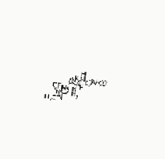 Cc1nc2ccc(-c3ccn4nc(N[C@@H]5CN(C6COC6)C[C@@H]5F)nc(N)c34)nc2n1CC(F)(F)F